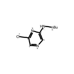 CCCCNc1cncc(Cl)n1